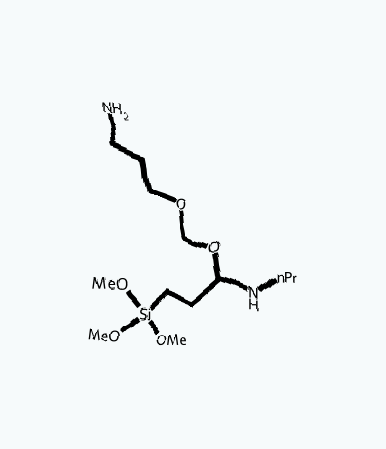 CCCNC(CC[Si](OC)(OC)OC)OCOCCCN